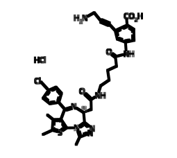 Cc1sc2c(c1C)C(c1ccc(Cl)cc1)=N[C@@H](CC(=O)NCCCCC(=O)Nc1ccc(C(=O)O)c(C#CCN)c1)c1nnc(C)n1-2.Cl